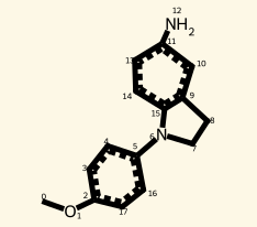 COc1ccc(N2CCc3cc(N)ccc32)cc1